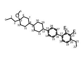 CCCC1(OC)CCC(C2CCC(c3ccc(-c4ccc(CC)c(F)c4F)cc3)CC2)CC1